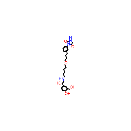 O=C1CNC(=O)N1c1cccc(CCCCOCCCCCCNC[C@@H](O)c2ccc(O)c(CO)c2)c1